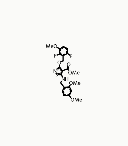 COC(=O)c1c(OCc2c(F)ccc(OC)c2F)nsc1NCc1ccc(OC)cc1OC